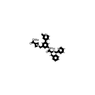 COC(=O)C1CN(Cc2cc(NC(=O)[C@H](Cc3ccccc3)NCc3ccccn3)cc(-c3ccnc(C)c3)c2)C1